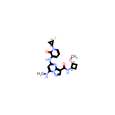 CNc1cc(Nc2cccn([C@H]3C[C@@H]3F)c2=O)nc2c(C(=O)N[C@@H]3CC[C@H]3OC)cnn12